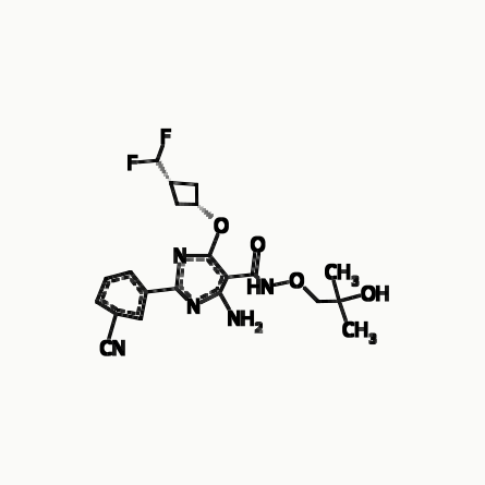 CC(C)(O)CONC(=O)c1c(N)nc(-c2cccc(C#N)c2)nc1O[C@H]1C[C@@H](C(F)F)C1